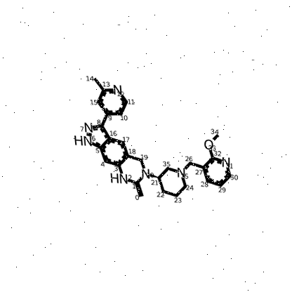 C=C1Nc2cc3[nH]nc(-c4ccnc(C)c4)c3cc2CN1[C@@H]1CCCN(Cc2cccnc2OC)C1